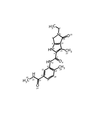 CCN1Cc2[nH]c(C(=O)Nc3cc(C(=O)NC)ccc3C)c(C)c2C1=O